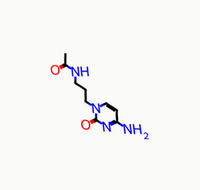 CC(=O)NCCCn1ccc(N)nc1=O